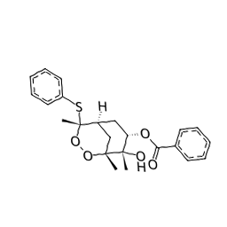 C[C@@]12C[C@H](C[C@H](OC(=O)c3ccccc3)[C@]1(C)O)[C@@](C)(Sc1ccccc1)OO2